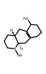 CCCN1CCC[C@@H]2CC3=C(CCCC3O)C[C@H]21